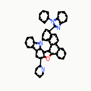 c1ccc(-n2c(-c3ccc(-n4c5ccccc5c5cc(-c6ccccn6)c6oc7c8ccccc8c8ccccc8c7c6c54)cc3)nc3ccccc32)cc1